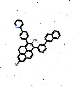 C[C@@H]1C(c2ccc(-c3ccccn3)cc2)=C2CCc3cc(C(C)(C)C)cc4ccc(c2c34)C1c1cccc(-c2ccc3ccccc3c2)c1